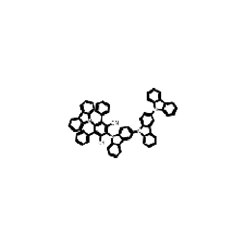 N#Cc1c(-c2ccccc2)c(-n2c3ccccc3c3ccccc32)c(-c2ccccc2)c(C#N)c1-n1c2ccccc2c2cc(-n3c4ccccc4c4cc(-n5c6ccccc6c6ccccc65)ccc43)ccc21